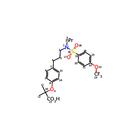 CCCN(CCCc1ccc(OC(C)(C)C(=O)O)cc1)S(=O)(=O)c1ccc(OC(F)(F)F)cc1